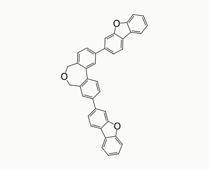 c1ccc2c(c1)oc1cc(-c3ccc4c(c3)COCc3ccc(-c5ccc6c(c5)oc5ccccc56)cc3-4)ccc12